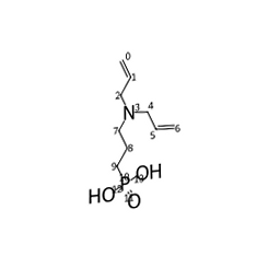 C=CCN(CC=C)CCCP(=O)(O)O